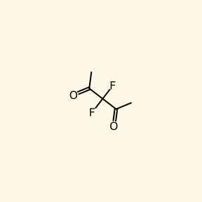 CC(=O)C(F)(F)C(C)=O